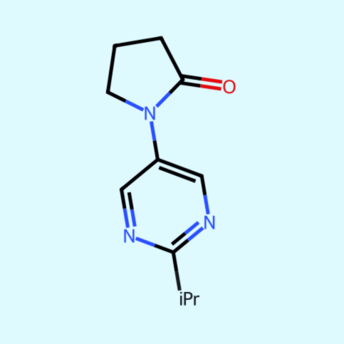 CC(C)c1ncc(N2CCCC2=O)cn1